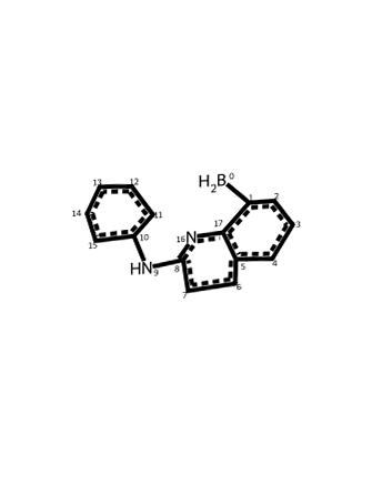 Bc1cccc2ccc(Nc3ccccc3)nc12